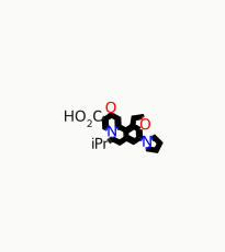 CC(C)C1Cc2cc(N3CCCC3)c3c(c2-c2cc(=O)c(C(=O)O)cn21)CCO3